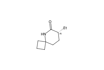 CC[C@@H]1CCC2(CCC2)NC1=O